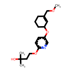 COCC1=CC(Oc2ccc(OCCC(C)(C)O)nc2)CCC1